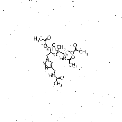 CC(=O)NCc1cn(CC(OC(C)[C@H](COC(C)=O)NC(C)=O)[C@@H](C)OC(C)=O)nn1